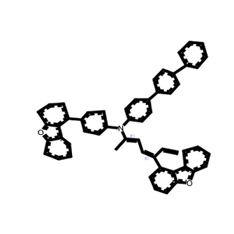 C=C/C(=C\C=C(/C)N(c1ccc(-c2ccc(-c3ccccc3)cc2)cc1)c1ccc(-c2cccc3oc4ccccc4c23)cc1)c1cccc2oc3ccccc3c12